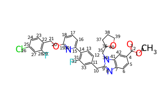 COC(=O)c1ccc2nc(Cc3ccc(-c4cccc(OCc5ccc(Cl)cc5F)n4)c(F)c3)n(CC3CCCO3)c2c1